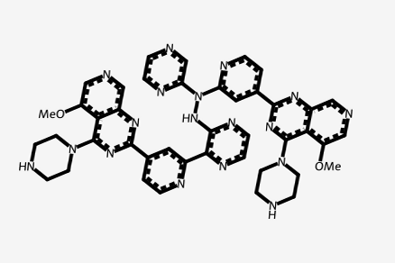 COc1cncc2nc(-c3ccnc(-c4nccnc4NN(c4cnccn4)c4cc(-c5nc(N6CCNCC6)c6c(OC)cncc6n5)ccn4)c3)nc(N3CCNCC3)c12